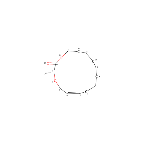 C[C@H]1OC/C=C\CCCCCCCCOC1=O